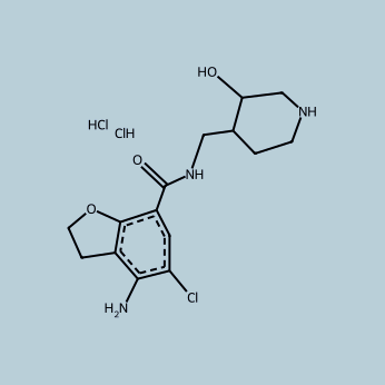 Cl.Cl.Nc1c(Cl)cc(C(=O)NCC2CCNCC2O)c2c1CCO2